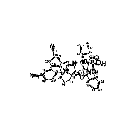 N#Cc1ccc(C2(c3ccc(C#N)cc3)CCCc3c(OC(=O)[C@](O)(C(=O)c4ccccc4)[C@](O)(C(=O)O)C(=O)c4ccccc4)ncn32)cc1